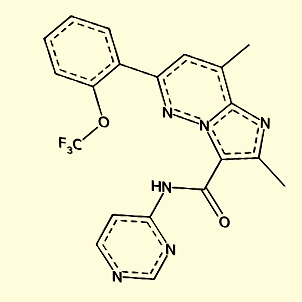 Cc1nc2c(C)cc(-c3ccccc3OC(F)(F)F)nn2c1C(=O)Nc1ccncn1